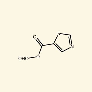 O=COC(=O)c1cncs1